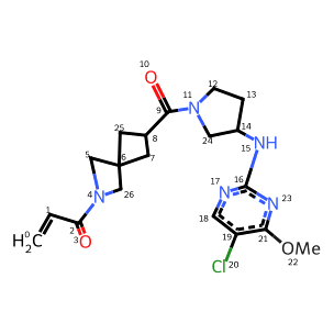 C=CC(=O)N1CC2(CC(C(=O)N3CCC(Nc4ncc(Cl)c(OC)n4)C3)C2)C1